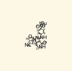 CC(C)(C)S(=O)(=O)c1ccc(Nc2nn([C@]3(CC#N)CCOC3)c3cc[nH]c(=O)c23)cc1